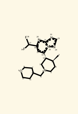 C[C@H]1CCN(CC2CCOCC2)C[C@@H]1c1cc(C(F)F)nc2ncnn12